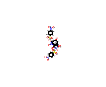 O=C1C2C=CC3C(C4C(=O)N(OS(=O)(=O)c5ccc([N+](=O)[O-])cc5)C(=O)C24)C1C(OS(=O)(=O)c1ccc([N+](=O)[O-])cc1)[N+]3=O